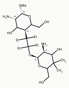 CCC(CC)(O[C@@H]1OC(CO)C(C)(C)C(O)[C@@H]1N)C(CC)(CC)[C@@H]1C(CO)O[C@@H](OC)[C@@H](N)C1O